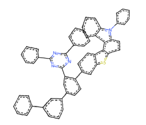 c1ccc(-c2cccc(-c3ccc(-c4ccc5c(c4)sc4ccc6c(c7ccccc7n6-c6ccccc6)c45)c(-c4nc(-c5ccccc5)nc(-c5ccccc5)n4)c3)c2)cc1